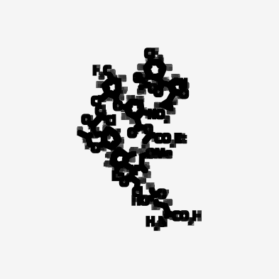 CC1COc2ccccc2N1C(=O)C(Cl)Cl.CCOC(=O)C(C)OC(=O)c1cc(Oc2ccc(C(F)(F)F)cc2Cl)ccc1[N+](=O)[O-].CCc1cccc(C)c1N(C(=O)CCl)C(C)COC.CP(=O)(O)CCC(N)C(=O)O.CS(=O)(=O)c1cc(C(F)(F)F)ccc1C(=O)c1cnoc1C1CC1